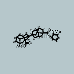 CNc1ccccc1NC(=O)C1CC2CC3CC(C45CC6CCCC(C(=O)OC)(C4)C(C6)C5)(C2)CC3C1